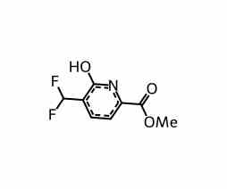 COC(=O)c1ccc(C(F)F)c(O)n1